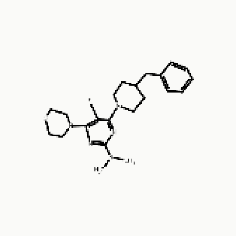 CN(C)c1nc(N2CCOCC2)c(F)c(N2CCC(Cc3ccccc3)CC2)n1